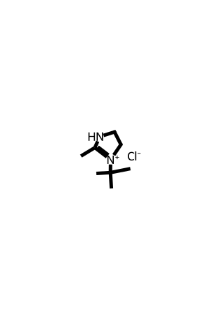 CC1=[N+](C(C)(C)C)CCN1.[Cl-]